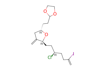 C=C(I)CC[C@@H](Cl)CC[C@@H]1O[C@@H](CCC2OCCO2)CC1=C